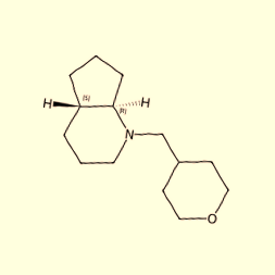 C1C[C@H]2CCCN(CC3CCOCC3)[C@@H]2C1